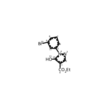 CCOC(=O)c1cnn(-c2cccc(Br)c2)c1O